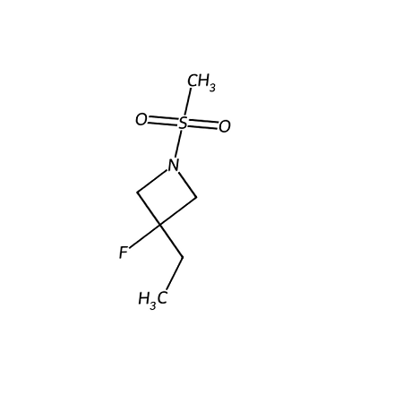 CCC1(F)CN(S(C)(=O)=O)C1